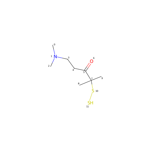 CN(C)CCC(=O)C(C)(C)SS